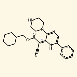 N#C/C(C(=O)OCC1CCCCC1)=C1\NC(c2ccccc2)=CN=C1N1CCNCC1